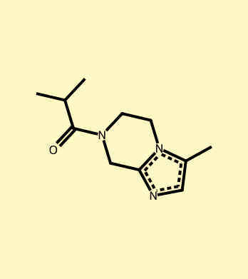 Cc1cnc2n1CCN(C(=O)C(C)C)C2